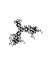 N=C(N)N(C(=O)c1nc(Cl)c(N)nc1N)C1CCN(c2nc(N3CCC(C(=O)O)CC3)nc(N3CCC(N(C(=N)N)C(=O)c4nc(Cl)c(N)nc4N)CC3)n2)CC1